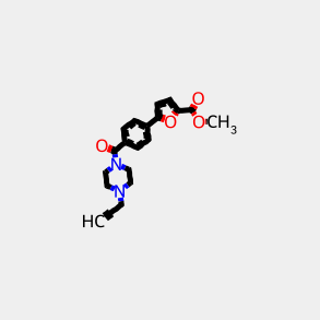 C#CCN1CCN(C(=O)c2ccc(-c3ccc(C(=O)OC)o3)cc2)CC1